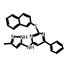 Cc1cc(Nc2cc(-c3ccccc3)nc(Sc3ccc4ccccc4c3)n2)[nH]n1